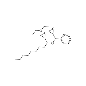 CCCCCCCCC(OC(c1ccccc1)C1CO1)C1CO1.CCOCC